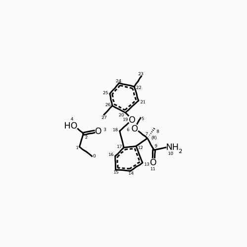 CCC(=O)O.CO[C@@](C)(C(N)=O)c1ccccc1COc1cc(C)ccc1C